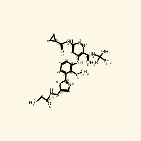 BC(B)(B)NC(=O)c1nnc(NC(=O)C2CC2)cc1Nc1cccc(-c2ncc(CNC(=O)CC)s2)c1OC